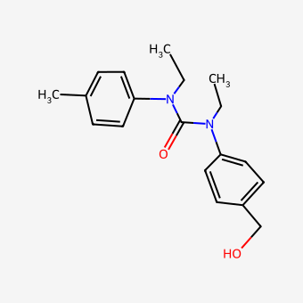 CCN(C(=O)N(CC)c1ccc(CO)cc1)c1ccc(C)cc1